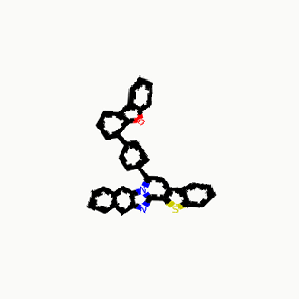 c1ccc2cc3c(cc2c1)nc1c2sc4ccccc4c2cc(-c2ccc(-c4cccc5c4oc4ccccc45)cc2)n31